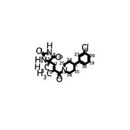 CC(CC1(C)NC(=O)NC1=O)C(=O)N1CCC(c2cccc(Cl)c2)CC1